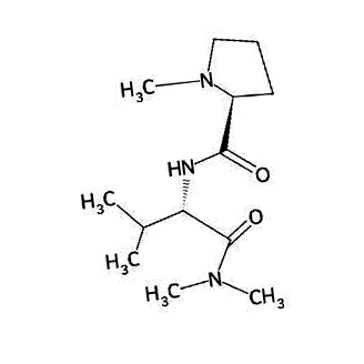 CC(C)[C@H](NC(=O)[C@@H]1CCCN1C)C(=O)N(C)C